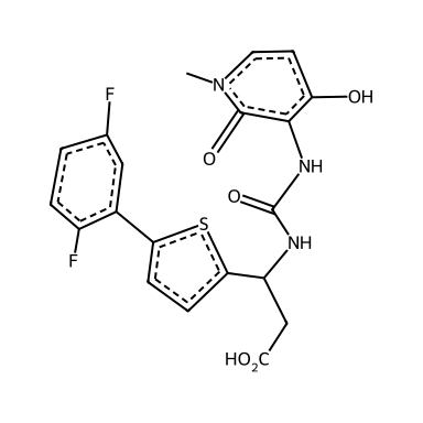 Cn1ccc(O)c(NC(=O)NC(CC(=O)O)c2ccc(-c3cc(F)ccc3F)s2)c1=O